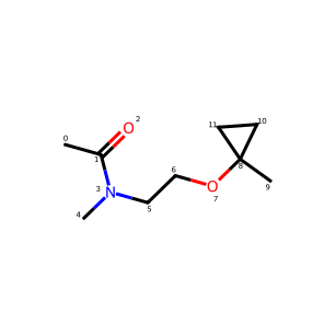 CC(=O)N(C)CCOC1(C)CC1